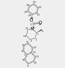 C[C@H]1C[C@H](c2ccc3ccccc3c2)CCN1C(=O)Oc1ccccc1